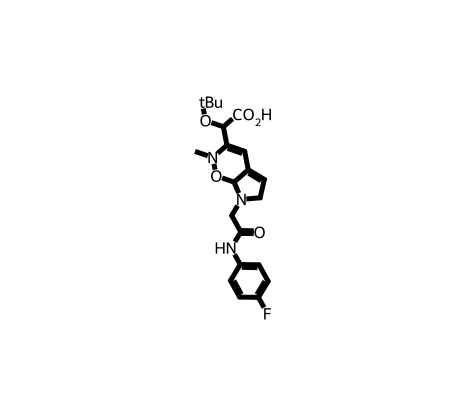 CN1OC2C(=CCN2CC(=O)Nc2ccc(F)cc2)C=C1C(OC(C)(C)C)C(=O)O